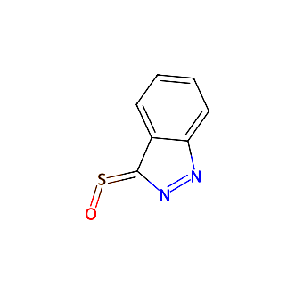 O=S=C1N=Nc2ccccc21